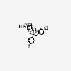 O=[N+]([O-])O.OC(Cc1ccc(Cl)cc1Cl)(Cn1ccnc1)c1ccc(I)cc1